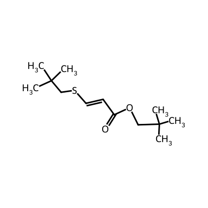 CC(C)(C)COC(=O)C=CSCC(C)(C)C